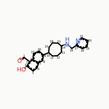 O=Cc1c(O)ccc2cc(C3CCCC(NCc4ccccn4)CCC3)ccc12